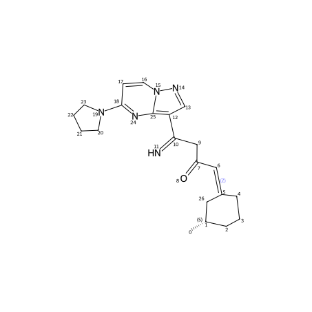 C[C@H]1CCC/C(=C/C(=O)CC(=N)c2cnn3ccc(N4CCCC4)nc23)C1